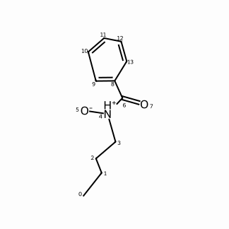 CCCC[NH+]([O-])C(=O)c1ccccc1